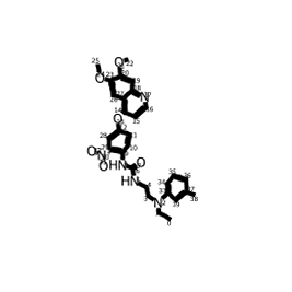 CCN(CCNC(=O)Nc1ccc(Oc2ccnc3cc(OC)c(OC)cc23)cc1[N+](=O)[O-])c1cccc(C)c1